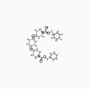 O=C(OCc1ccccc1)N1CCC(OC2CCC(OC3CCN(C(=O)OCc4ccccc4)CC3)CC2)CC1